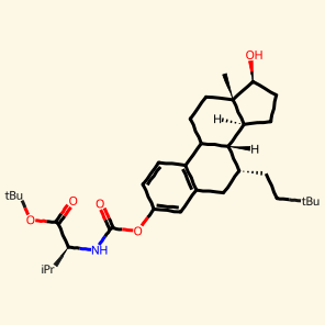 CC(C)[C@H](NC(=O)Oc1ccc2c(c1)C[C@@H](CCC(C)(C)C)[C@@H]1C2CC[C@]2(C)[C@@H](O)CC[C@@H]12)C(=O)OC(C)(C)C